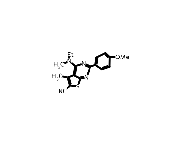 CCN(C)c1nc(-c2ccc(OC)cc2)nc2sc(C#N)c(C)c12